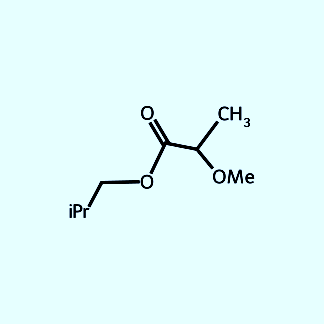 COC(C)C(=O)OCC(C)C